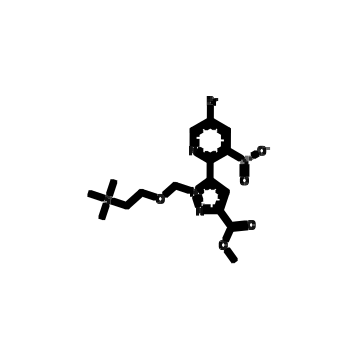 COC(=O)c1cc(-c2ncc(Br)cc2[N+](=O)[O-])n(COCC[Si](C)(C)C)n1